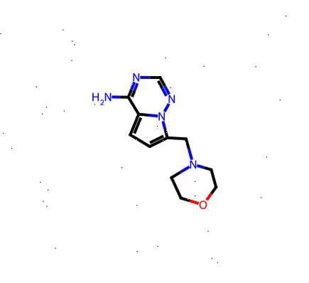 Nc1ncnn2c(CN3CCOCC3)ccc12